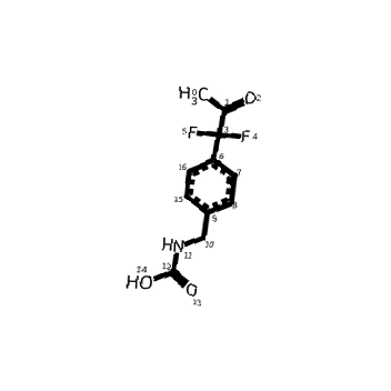 CC(=O)C(F)(F)c1ccc(CNC(=O)O)cc1